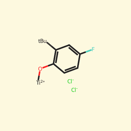 CC(C)(C)c1cc(F)ccc1[O][Ti+2].[Cl-].[Cl-]